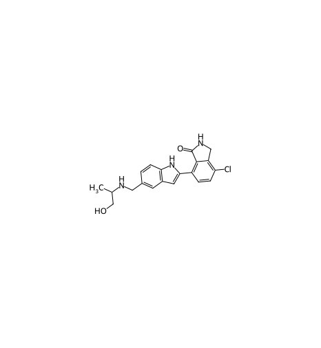 CC(CO)NCc1ccc2[nH]c(-c3ccc(Cl)c4c3C(=O)NC4)cc2c1